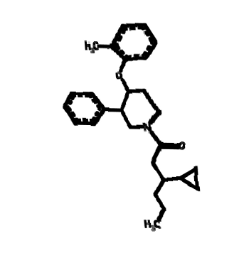 CCCC(CC(=O)N1CCC(Oc2ccccc2C)C(c2ccccc2)C1)C1CC1